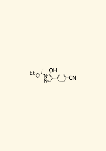 [CH2]C(OCC)n1ncc(-c2ccc(C#N)cc2)c1O